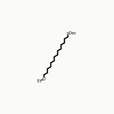 CCCCCCCCCCCCCCCCCCCCCCC[CH]OCC